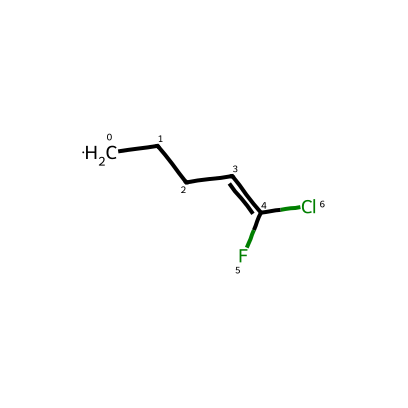 [CH2]CC/C=C(\F)Cl